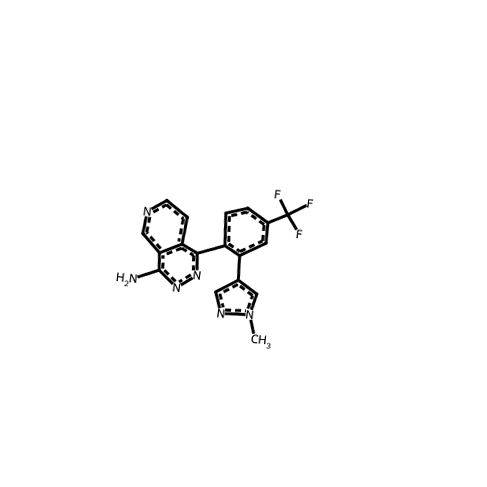 Cn1cc(-c2cc(C(F)(F)F)ccc2-c2nnc(N)c3cnccc23)cn1